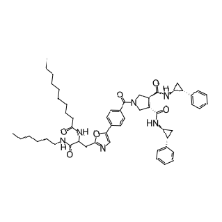 CCCCCCCCCC(=O)NC(Cc1ncc(-c2ccc(C(=O)N3C[C@@H](C(=O)N[C@H]4C[C@@H]4c4ccccc4)[C@H](C(=O)N[C@H]4C[C@@H]4c4ccccc4)C3)cc2)o1)C(=O)NCCCCCC